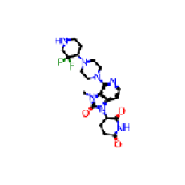 Cn1c(=O)n(C2CCC(=O)NC2=O)c2ccnc(N3CCN([C@@H]4CCNCC4(F)F)CC3)c21